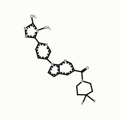 Cc1nnc(-c2ccc(-n3ccc4cc(C(=O)N5CCC(F)(F)CC5)cnc43)cn2)n1C